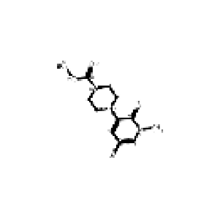 Cn1cc(Br)cc(N2CCN(C(=O)OC(C)(C)C)CC2)c1=O